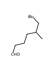 CCC(C)CC(C)CCCC=O